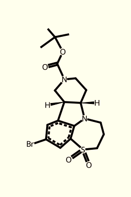 CC(C)(C)OC(=O)N1CC[C@H]2[C@@H](C1)c1cc(Br)cc3c1N2CCCS3(=O)=O